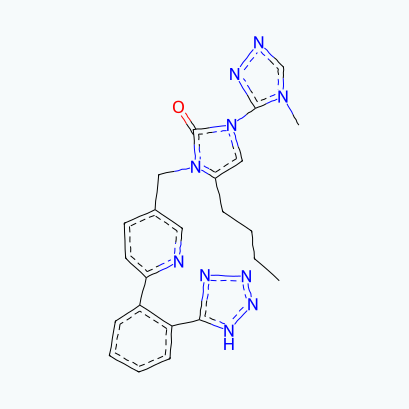 CCCCc1cn(-c2nncn2C)c(=O)n1Cc1ccc(-c2ccccc2-c2nnn[nH]2)nc1